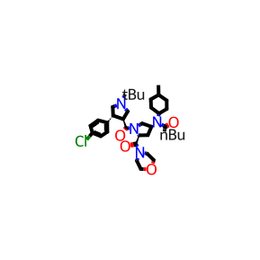 CCCCC(=O)N(C1CCC(C)CC1)[C@H]1C[C@@H](C(=O)N2CCOCC2)N(C(=O)[C@@H]2CN(C(C)(C)C)C[C@H]2c2ccc(Cl)cc2)C1